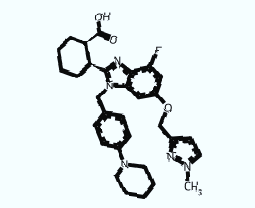 Cn1ccc(COc2cc(F)c3nc([C@H]4CCCC[C@H]4C(=O)O)n(Cc4ccc(N5CCCCC5)cc4)c3c2)n1